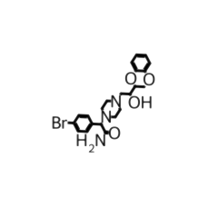 NC(=O)C(c1ccc(Br)cc1)N1CCN(CC(O)C2COc3ccccc3O2)CC1